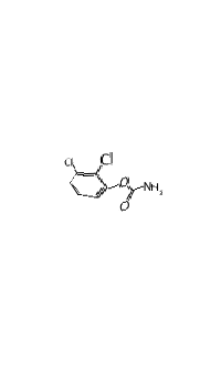 NC(=O)Oc1cccc(Cl)c1Cl